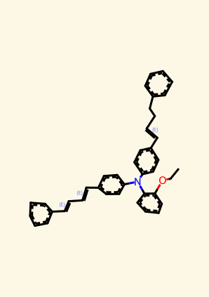 CCOc1ccccc1N(c1ccc(/C=C/C=C/c2ccccc2)cc1)c1ccc(/C=C/CCc2ccccc2)cc1